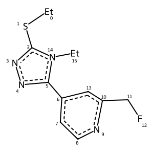 CCSc1nnc(-c2ccnc(CF)c2)n1CC